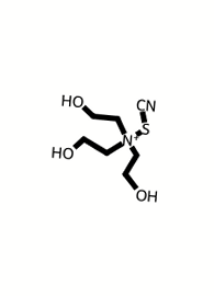 N#CS[N+](CCO)(CCO)CCO